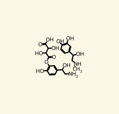 CNCC(O)c1ccc(O)c(O)c1.NCC(O)c1ccc(O)c(OC(=O)C(O)C(O)C(=O)O)c1